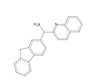 NC(c1ccc2c(c1)Cc1ccccc1-2)c1ccc2ccccc2n1